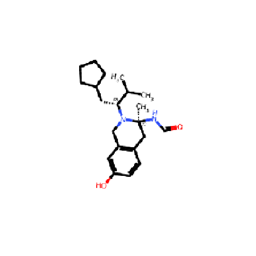 CC(C)[C@@H](CC1CCCC1)N1Cc2cc(O)ccc2C[C@]1(C)NC=O